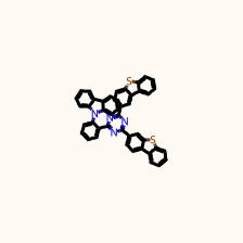 c1ccc(-n2c3ccccc3c3ccccc32)c(-c2nc(-c3ccc4c(c3)sc3ccccc34)nc(-c3ccc4sc5ccccc5c4c3)n2)c1